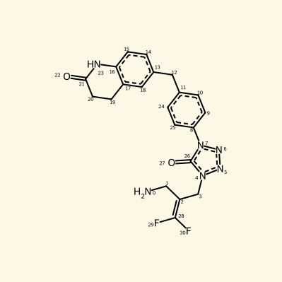 NCC(Cn1nnn(-c2ccc(Cc3ccc4c(c3)CCC(=O)N4)cc2)c1=O)=C(F)F